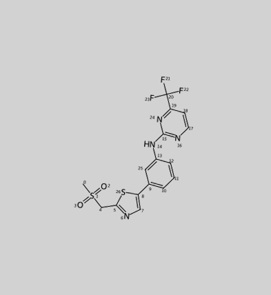 CS(=O)(=O)Cc1ncc(-c2cccc(Nc3nccc(C(F)(F)F)n3)c2)s1